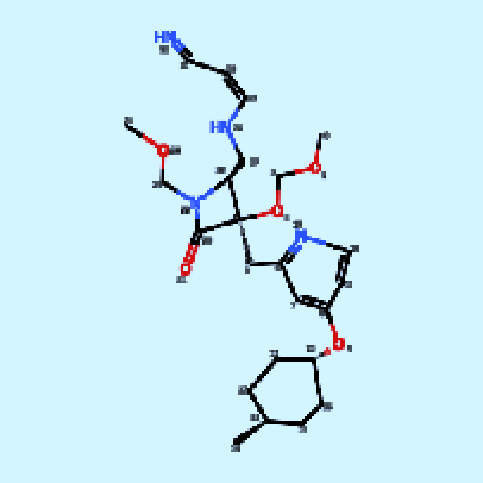 COCO[C@@]1(Cc2cc(O[C@H]3CC[C@H](C)CC3)ccn2)C(=O)N(COC)[C@H]1CN/C=C\C=N